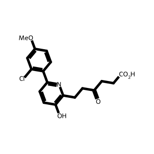 COc1ccc(-c2ccc(O)c(CCC(=O)CCC(=O)O)n2)c(Cl)c1